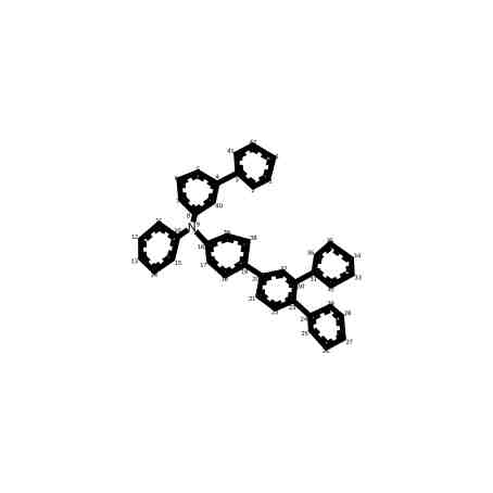 c1ccc(-c2cccc(N(c3ccccc3)c3ccc(-c4ccc(-c5ccccc5)c(-c5ccccc5)c4)cc3)c2)cc1